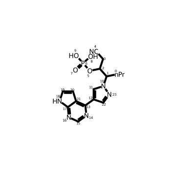 CCCC(C(CC#N)OP(=O)(O)O)n1cc(-c2ncnc3[nH]ccc23)cn1